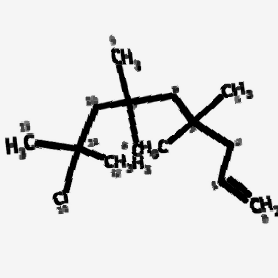 C=CCC(C)(C)CC(C)(C)CC(C)(C)Cl